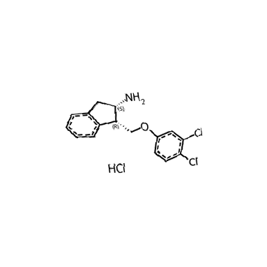 Cl.N[C@H]1Cc2ccccc2[C@H]1COc1ccc(Cl)c(Cl)c1